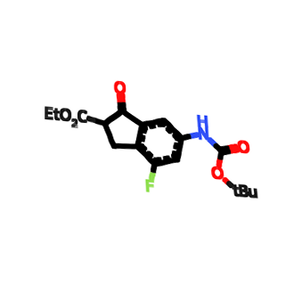 CCOC(=O)C1Cc2c(F)cc(NC(=O)OC(C)(C)C)cc2C1=O